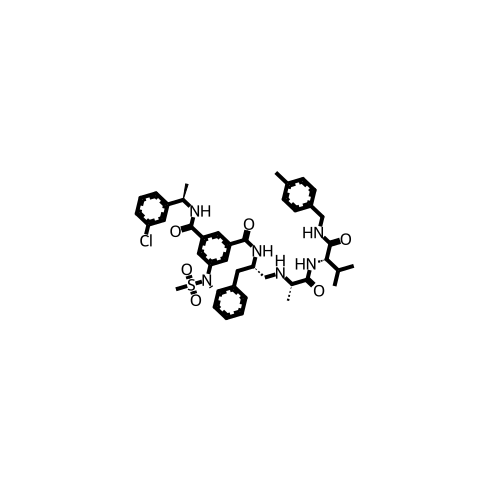 Cc1ccc(CNC(=O)[C@@H](NC(=O)[C@H](C)NC[C@H](Cc2ccccc2)NC(=O)c2cc(C(=O)N[C@H](C)c3cccc(Cl)c3)cc(N(C)S(C)(=O)=O)c2)C(C)C)cc1